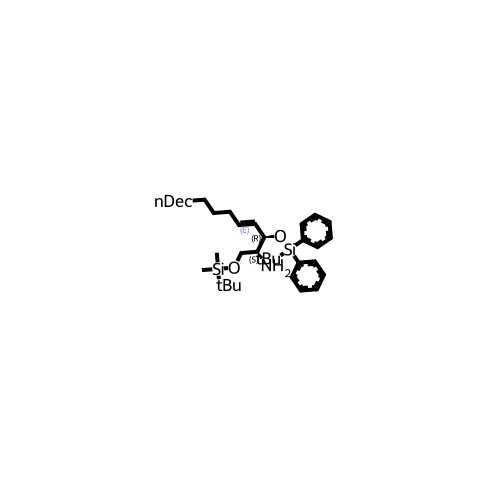 CCCCCCCCCCCCC/C=C/[C@@H](O[Si](c1ccccc1)(c1ccccc1)C(C)(C)C)[C@@H](N)CO[Si](C)(C)C(C)(C)C